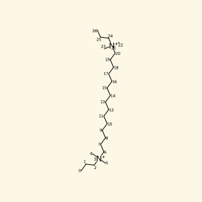 CCC[N+](C)(C)CCCCCCCCCCCCCCC[N+](C)(C)CCC